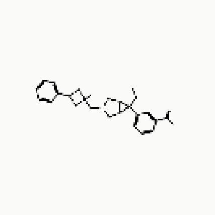 CCC1(c2cccc(C(N)=O)c2)C2CN(CC3(O)CC(c4ccccc4)C3)CC21